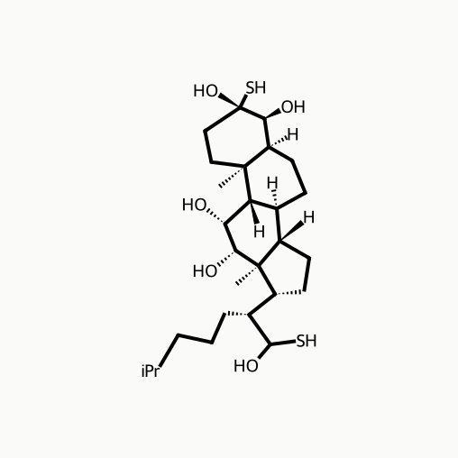 CC(C)CCC[C@@H](C(O)S)[C@H]1CC[C@H]2[C@@H]3CC[C@@H]4[C@H](O)[C@@](O)(S)CC[C@]4(C)[C@H]3[C@@H](O)[C@@H](O)[C@]12C